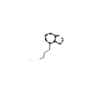 [CH2]OCCCc1cccc2sccc12